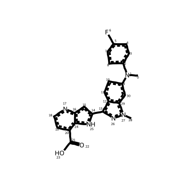 CN(c1ccc(F)cc1)c1ccc2c(-c3cc4nccc(C(=O)O)c4[nH]3)nn(C)c2c1